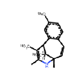 COc1ccc2c(c1)C1C(C(=O)O)=C(C)NC(C)(C=C2)[C@H]1C(=O)O